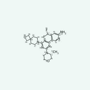 C[C@@H]1COCCN1c1nc(-c2cnc(N)cc2C(F)F)nc(N2CCC3(CC2)COC3)n1